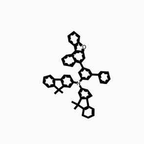 CC1(C)C2=C(C=CCC2)c2ccc(N(c3cc(-c4ccccc4)cc(-c4cc5oc6ccccc6c5c5ccccc45)c3)c3ccc4c(c3)C(C)(C)c3ccccc3-4)cc21